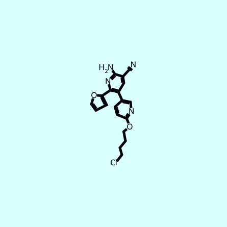 N#Cc1cc(-c2ccc(OCCCCCl)nc2)c(-c2ccco2)nc1N